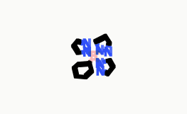 c1ccc([B-](n2cccn2)(n2cccn2)n2cccn2)cc1